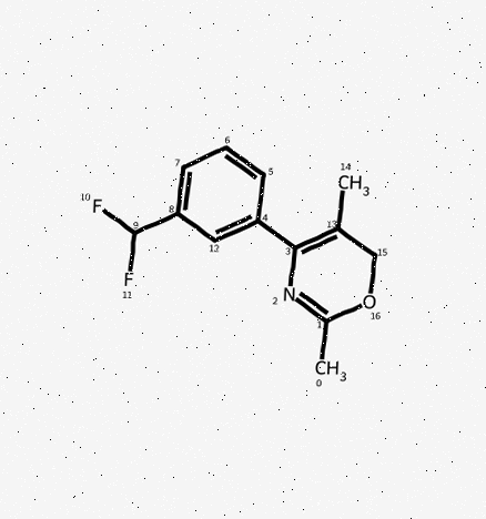 CC1=NC(c2cccc(C(F)F)c2)=C(C)CO1